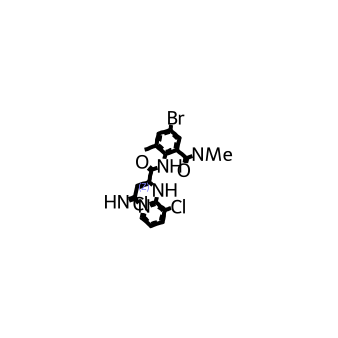 CNC(=O)c1cc(Br)cc(C)c1NC(=O)/C(=C/C(=N)Cl)Nc1ncccc1Cl